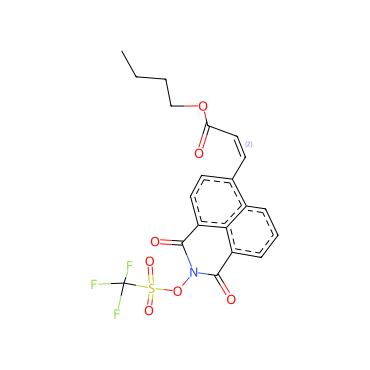 CCCCOC(=O)/C=C\c1ccc2c3c(cccc13)C(=O)N(OS(=O)(=O)C(F)(F)F)C2=O